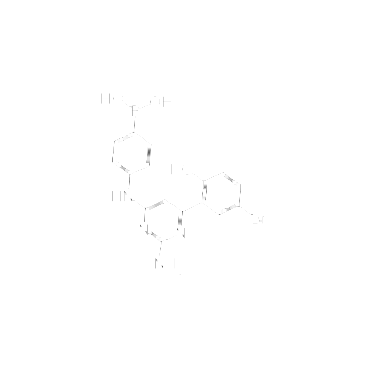 Cc1ccc(Br)cc1-c1cc(Nc2ccc(B(O)O)cc2)nc(N)n1